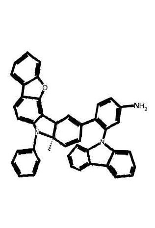 C[C@@]12C=CC(c3ccc(N)cc3-n3c4ccccc4c4ccccc43)=CC1c1c(ccc3c1oc1ccccc13)N2c1ccccc1